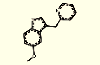 COc1ccc2[nH]cc(Cc3ccccn3)c2c1